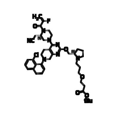 C=C(F)C(=O)N1CCN(c2nc(OC[C@@H]3CCCN3CCCOCCC(=O)OC(C)(C)C)nc3c2CCN(c2cccc4cccc(Cl)c24)C3)C[C@@H]1CC#N